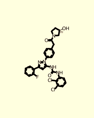 O=C(Nc1cccc(Cl)c1Cl)Nc1cc(-c2ccccc2F)nn1-c1ccc(CC(=O)N2CC[C@H](O)C2)cc1